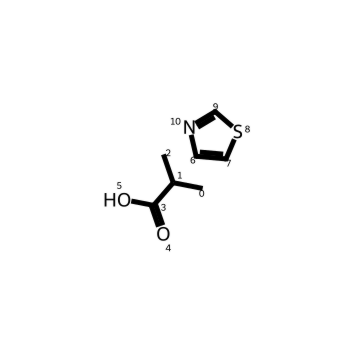 CC(C)C(=O)O.c1cscn1